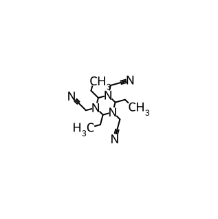 CCC1N(CC#N)C(CC)N(CC#N)C(CC)N1CC#N